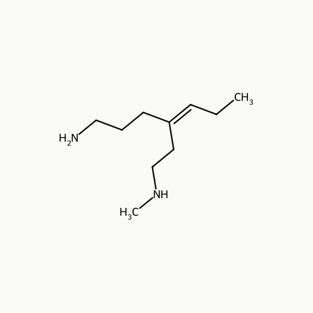 CCC=C(CCCN)CCNC